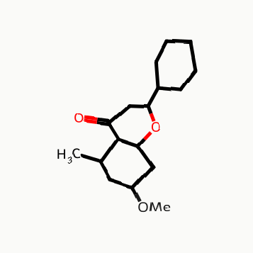 COC1CC(C)C2C(=O)CC(C3CCCCC3)OC2C1